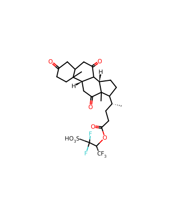 C[C@H](CCC(=O)OC(C(F)(F)F)C(F)(F)S(=O)(=O)O)C1CC[C@H]2C3C(=O)CC4CC(=O)CCC4(C)[C@H]3CC(=O)C12C